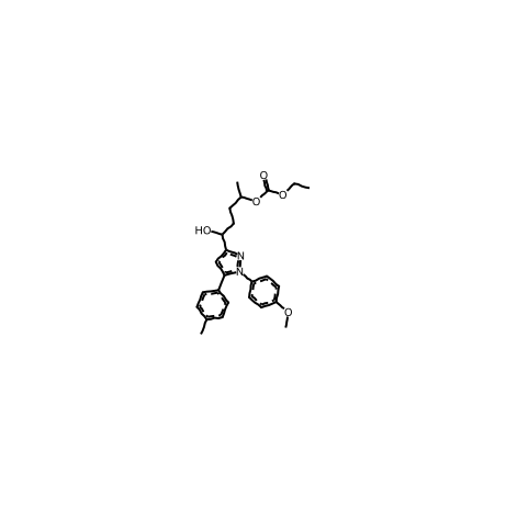 CCOC(=O)OC(C)CCC(O)c1cc(-c2ccc(C)cc2)n(-c2ccc(OC)cc2)n1